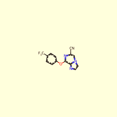 N#Cc1cn2ccnc2c(Oc2ccc(C(F)(F)F)cc2)n1